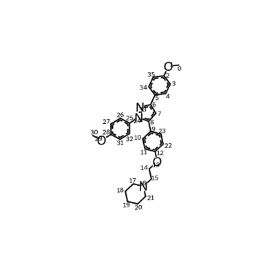 COc1ccc(-c2cc(-c3ccc(OCCN4CCCCC4)cc3)n(-c3ccc(OC)cc3)n2)cc1